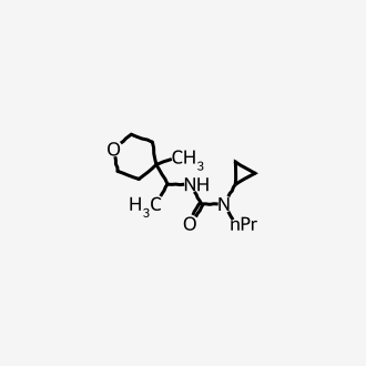 CCCN(C(=O)NC(C)C1(C)CCOCC1)C1CC1